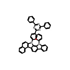 c1ccc(-c2nc(-c3ccccc3)nc(-c3ccc(-n4c5ccc6ccccc6c5c5ccc6c7ccccc7n(-c7ccccc7)c6c54)cc3)n2)cc1